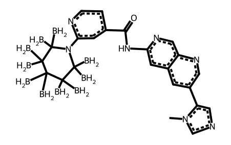 BC1(B)N(c2cc(C(=O)Nc3cc4cc(-c5cncn5C)cnc4cn3)ccn2)C(B)(B)C(B)(B)C(B)(B)C1(B)B